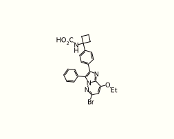 CCOc1cc(Br)nn2c(-c3ccccc3)c(-c3ccc(C4(NC(=O)O)CCC4)cc3)nc12